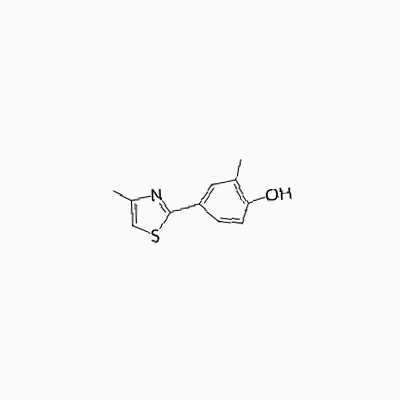 Cc1csc(-c2ccc(O)c(C)c2)n1